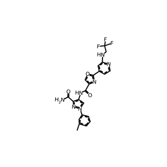 Cc1cccc(-n2cc(NC(=O)c3coc(-c4ccnc(NCC(F)(F)F)c4)n3)c(C(N)=O)n2)c1